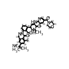 Cn1nc(-c2cccc(-n3ncc4cc(C(C)(C)C#N)cc(F)c4c3=O)c2CO)cc(Nc2ccc(C(=O)N3CCOCC3)cn2)c1=O